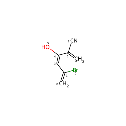 C=C(Br)/C=C(/O)C(=C)C#N